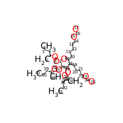 C=C(CCC)OOC1OC(CCCCCOC=O)C(CCCCOC=O)C(OOC(=C)CCC)C1OOC(=C)CCC